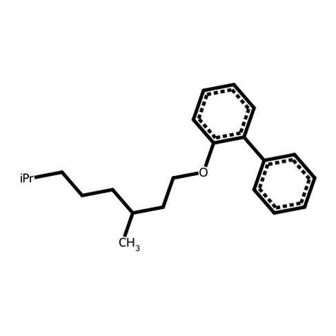 CC(C)CCCC(C)CCOc1ccccc1-c1ccccc1